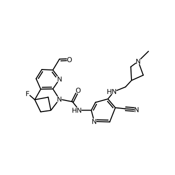 CN1CC(CNc2cc(NC(=O)N3c4nc(C=O)ccc4C4(F)CC3C4)ncc2C#N)C1